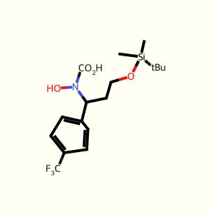 CC(C)(C)[Si](C)(C)OCCC(c1ccc(C(F)(F)F)cc1)N(O)C(=O)O